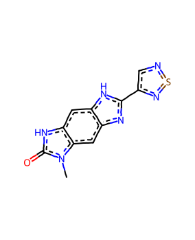 Cn1c(=O)[nH]c2cc3[nH]c(-c4cnsn4)nc3cc21